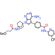 COCCC(=O)NC12CCC(n3cc(-c4ccc(C(=O)Nc5cc(C(F)(F)F)ccn5)cc4)c4c(N)ncnc43)(CC1)C2